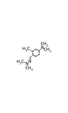 Cc1cc(N(C)C)ccc1C=NN(C)C